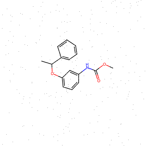 COC(=O)Nc1cccc(OC(C)c2ccccc2)c1